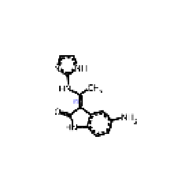 C/C(Nc1ncc[nH]1)=C1/C(=O)Nc2ccc(N)cc21